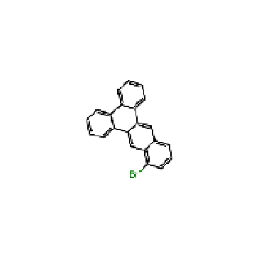 Brc1cccc2cc3c4ccccc4c4ccccc4c3cc12